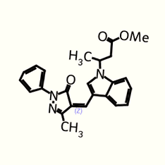 COC(=O)CC(C)n1cc(/C=C2\C(=O)N(c3ccccc3)N=C2C)c2ccccc21